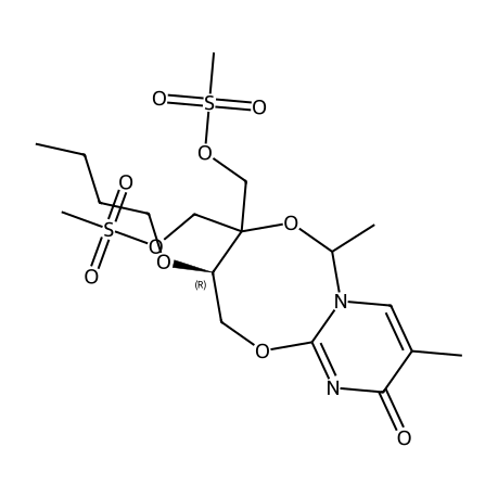 CCCCO[C@@H]1COc2nc(=O)c(C)cn2C(C)OC1(COS(C)(=O)=O)COS(C)(=O)=O